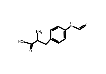 NC(Cc1ccc(NC=O)cc1)C(=O)O